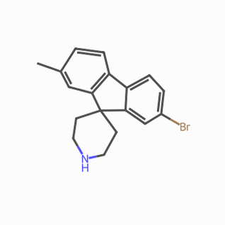 Cc1ccc2c(c1)C1(CCNCC1)c1cc(Br)ccc1-2